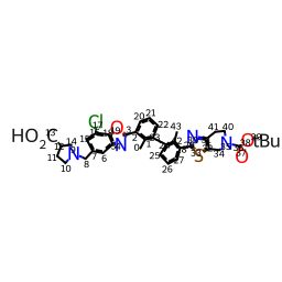 Cc1c(-c2nc3cc(CN4CCC(C(=O)O)C4)cc(Cl)c3o2)cccc1-c1cccc(-c2nc3c(s2)CN(C(=O)OC(C)(C)C)CC3)c1C